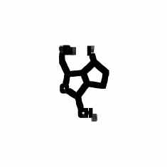 CC1OC(CC(C)(C)C)C2C(F)CCC12